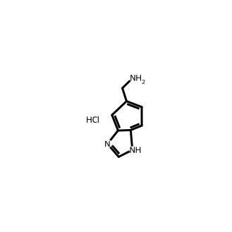 Cl.NCc1ccc2[nH]cnc2c1